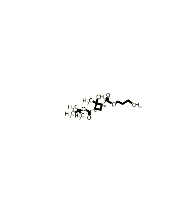 CCCCOC(=O)[C@@H]1C[C@H](C(=O)OC(C)(C)C)C1(C)C